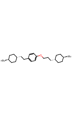 CCCC[C@H]1CC[C@H](CCCOc2ccc(CC[C@H]3CC[C@H](CCCC)CC3)cc2)CC1